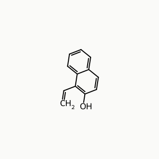 C=Cc1c(O)ccc2ccccc12